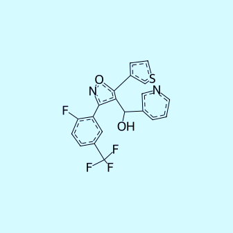 OC(c1cccnc1)c1c(-c2cc(C(F)(F)F)ccc2F)noc1-c1ccsc1